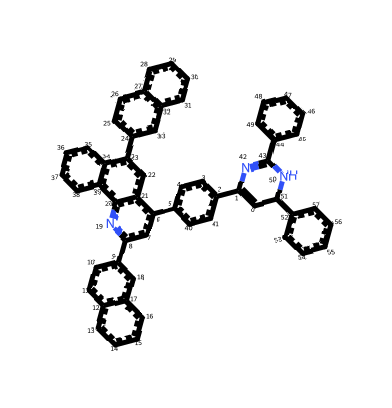 C1=C(c2ccc(-c3cc(-c4ccc5ccccc5c4)nc4c3cc(-c3ccc5ccccc5c3)c3ccccc34)cc2)N=C(c2ccccc2)NC1c1ccccc1